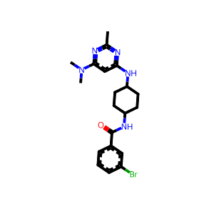 Cc1nc(NC2CCC(NC(=O)c3cccc(Br)c3)CC2)cc(N(C)C)n1